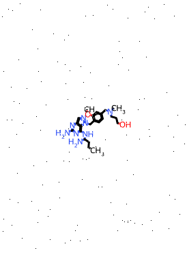 CCCC(N)Nc1nc(N)nc2cnn(Cc3ccc(CN(C)CCCO)cc3OC)c12